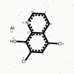 Oc1c(Cl)cc(Cl)c2cccnc12.[Al]